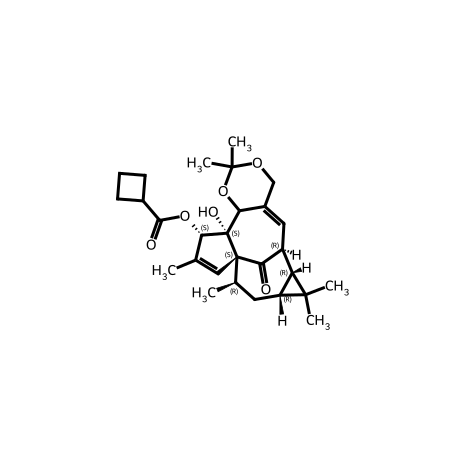 CC1=C[C@]23C(=O)[C@@H](C=C4COC(C)(C)OC4[C@]2(O)[C@H]1OC(=O)C1CCC1)[C@H]1[C@@H](C[C@H]3C)C1(C)C